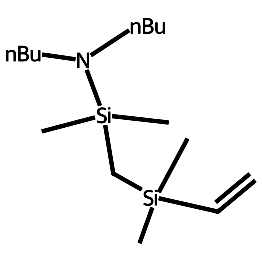 C=C[Si](C)(C)C[Si](C)(C)N(CCCC)CCCC